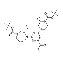 CC[C@H]1CN(C(=O)OC(C)(C)C)CCCN1c1nc(C(=O)OC)cc(N2CCN(C(=O)OC(C)(C)C)C3(CC3)C2)n1